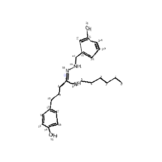 CCCCCCN/C(CCCc1ccc(O)cc1)=N\NCc1cccc(O)c1